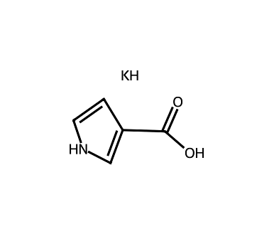 O=C(O)c1cc[nH]c1.[KH]